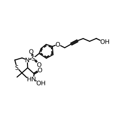 CC1(C)SCCN(S(=O)(=O)c2ccc(OCC#CCCCO)cc2)C1C(=O)NO